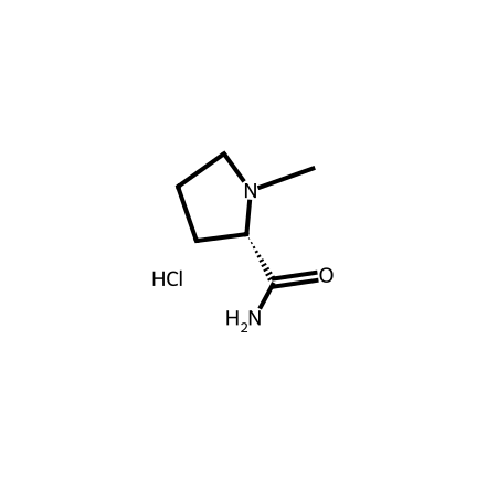 CN1CCC[C@H]1C(N)=O.Cl